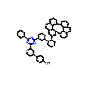 N#Cc1ccc(-c2cccc(-c3nc(-c4ccccc4)nc(-c4cccc(-c5ccccc5-c5cc6ccc7cccc8c9cccc%10ccc%11cccc(c(c5)c6c78)c%11c%109)c4)n3)c2)cc1